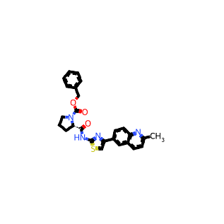 Cc1ccc2cc(-c3csc(NC(=O)[C@@H]4CCCN4C(=O)OCc4ccccc4)n3)ccc2n1